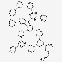 C#C/C=C\C=C(/C)C1=CC(c2ccccc2)CC(c2cccc(-c3nc(-c4ccccc4)nc(-c4cccc(-c5cccc6c5c5cc(-c7ccccc7)ccc5n6-c5nc(-c6ccccc6)nc(-c6cccc(-c7cccc(-c8ccccc8)c7)c6)n5)c4)n3)c2)=C1